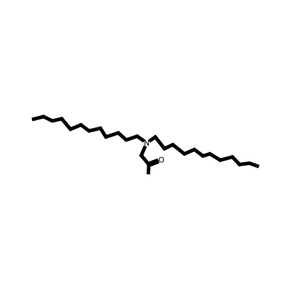 CCCCCCCCCCCCN(CCCCCCCCCCCC)CC(C)=O